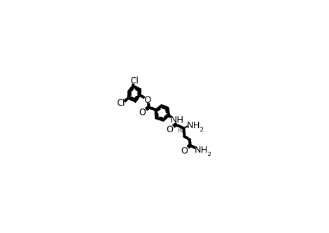 NC(=O)CC[C@H](N)C(=O)Nc1ccc(C(=O)Oc2cc(Cl)cc(Cl)c2)cc1